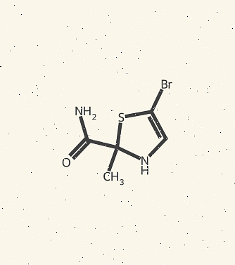 CC1(C(N)=O)NC=C(Br)S1